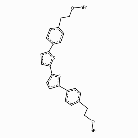 CCCOCCc1ccc(-c2ccc(-c3ccc(-c4ccc(CCOCCC)cc4)s3)s2)cc1